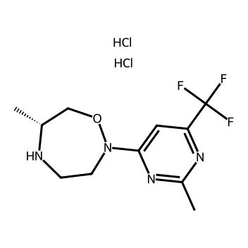 Cc1nc(N2CCN[C@H](C)CO2)cc(C(F)(F)F)n1.Cl.Cl